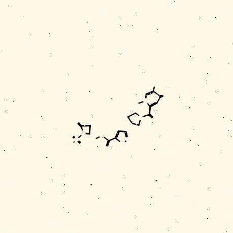 O=C(NC[C@H]1CC(=O)N1S(=O)(=O)O)c1cc([C@@H]2CCN(C(=O)c3cc(=O)c(O)cn3O)C2)no1